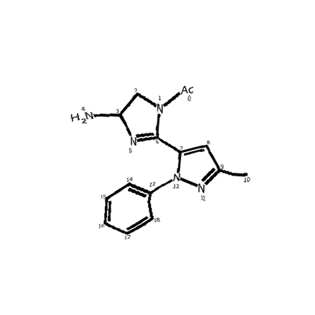 CC(=O)N1CC(N)N=C1c1cc(C)nn1-c1ccccc1